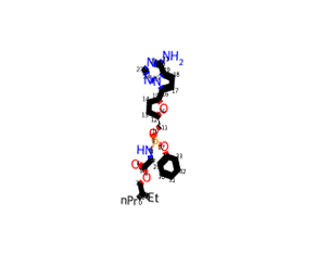 CCCC(CC)COC(=O)CN[P@](OC[C@@H]1CCC(c2ccc3c(N)ncnn23)O1)Oc1ccccc1